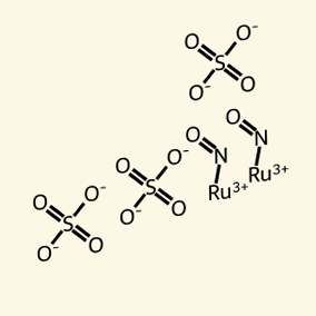 O=S(=O)([O-])[O-].O=S(=O)([O-])[O-].O=S(=O)([O-])[O-].O=[N][Ru+3].O=[N][Ru+3]